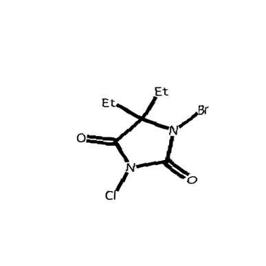 CCC1(CC)C(=O)N(Cl)C(=O)N1Br